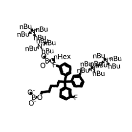 CCCCCCOB([O-])[O-].CCCC[N+](CCCC)(CCCC)CCCC.CCCC[N+](CCCC)(CCCC)CCCC.CCCC[N+](CCCC)(CCCC)CCCC.CCCC[N+](CCCC)(CCCC)CCCC.[O-]B([O-])OCCCCCC(c1cccc(F)c1)(c1cccc(F)c1)c1cccc(F)c1